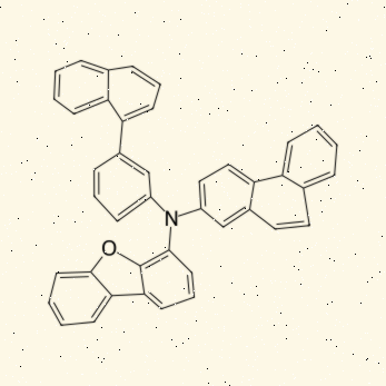 c1cc(-c2cccc3ccccc23)cc(N(c2ccc3c(ccc4ccccc43)c2)c2cccc3c2oc2ccccc23)c1